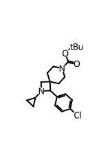 CC(C)(C)OC(=O)N1CCC2(CC1)CN(C1CC1)C2c1ccc(Cl)cc1